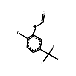 O=[C]Nc1cc(C(F)(F)F)ccc1F